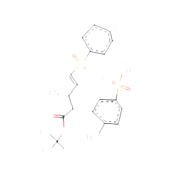 CC(C)(C)OC(=O)C[C@H](N)/C=C/S(=O)(=O)c1ccccc1.Cc1ccc(S(=O)(=O)O)cc1